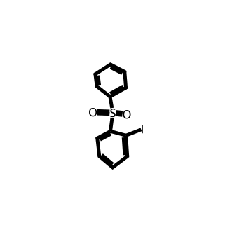 O=S(=O)(c1ccccc1)c1ccccc1I